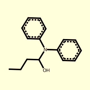 CCCC(O)N(c1ccccc1)c1ccccc1